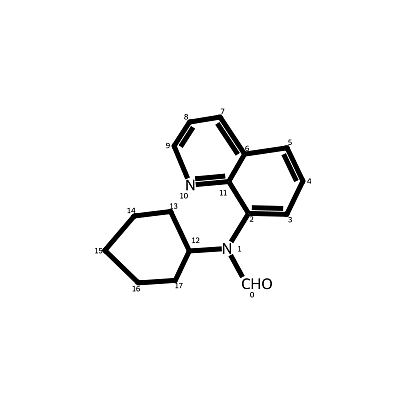 O=CN(c1cccc2cccnc12)C1CCCCC1